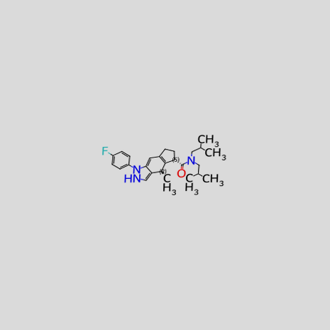 CC(C)CN(CC(C)C)C(=O)[C@H]1CCC2=C1[C@@H](C)C1=CNN(c3ccc(F)cc3)C1=C2